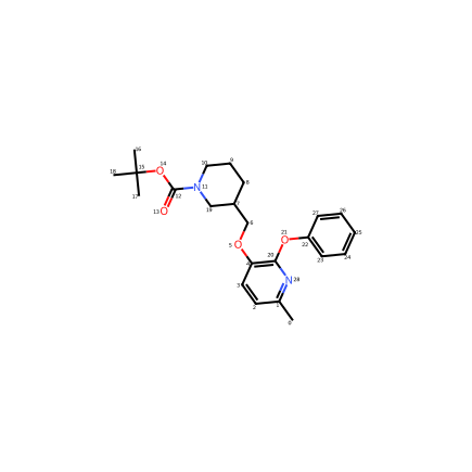 Cc1ccc(OCC2CCCN(C(=O)OC(C)(C)C)C2)c(Oc2ccccc2)n1